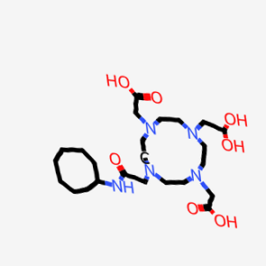 O=C(O)CN1CCN(CC(=O)NC2CCCCCCC2)CCN(CC(=O)O)CCN(CC(O)O)CC1